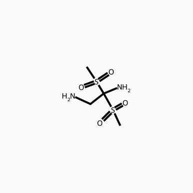 CS(=O)(=O)C(N)(CN)S(C)(=O)=O